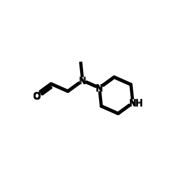 CN(CC=O)N1CCNCC1